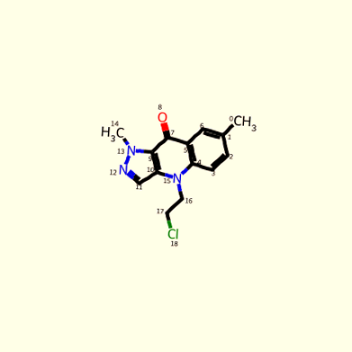 Cc1ccc2c(c1)c(=O)c1c(cnn1C)n2CCCl